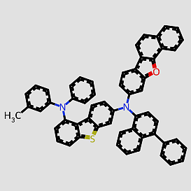 Cc1cccc(N(c2ccccc2)c2cccc3sc4cc(N(c5ccc6c(c5)oc5c7ccccc7ccc65)c5ccc(-c6ccccc6)c6ccccc56)ccc4c23)c1